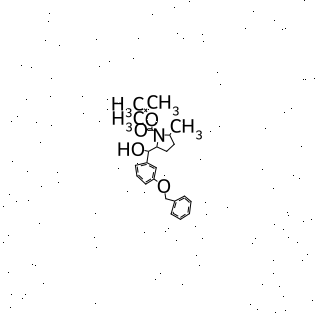 CC1CCC(C(O)c2cccc(OCc3ccccc3)c2)N1C(=O)OC(C)(C)C